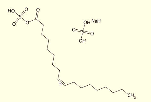 CCCCCCCC/C=C\CCCCCCCC(=O)OS(=O)(=O)O.O=S(=O)(O)O.[NaH]